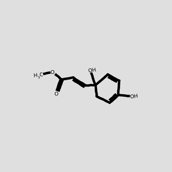 COC(=O)C=CC1(O)C=CC(O)=CC1